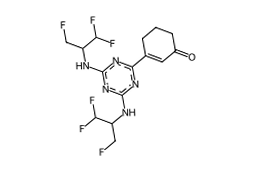 O=C1C=C(c2nc(NC(CF)C(F)F)nc(NC(CF)C(F)F)n2)CCC1